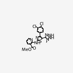 COC(=O)c1cccnc1Nc1nc(-c2ccc(Cl)c(Cl)c2)c(C2=NNNN2C)s1